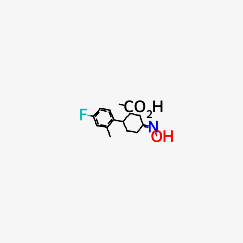 CC(=O)O.Cc1cc(F)ccc1C1CCC(=NO)CC1